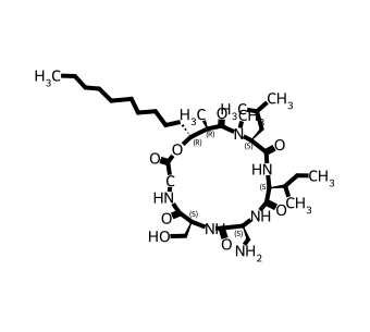 CCCCCCCCCC[C@H]1OC(=O)CNC(=O)[C@H](CO)NC(=O)[C@H](CN)NC(=O)[C@H](C(C)CC)NC(=O)[C@H](CC(C)C)N(C)C(=O)[C@@H]1C